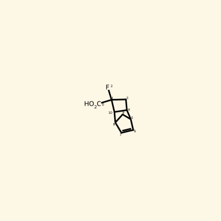 O=C(O)C1(F)CC2C3C=CC(C3)C21